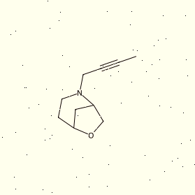 CC#CCN1CCC2CC1CO2